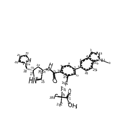 Cn1ncc2cc(-c3ccc(C(=O)N[C@H]4CN[C@H](Cn5cccn5)C4)c(F)c3)ccc21.O=C(O)C(F)(F)F